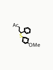 COc1ccc(SC(CCC(C)=O)c2ccccc2)cc1